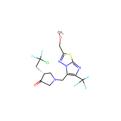 COCc1nn2c(CN3CC(=O)[C@H](CC(F)(F)Cl)C3)c(C(F)(F)F)nc2s1